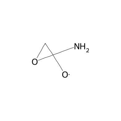 NC1([O])CO1